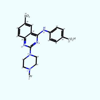 CC(C)N1CCN(c2nc(Nc3ccc(C(=O)O)cc3)c3cc([N+](=O)[O-])ccc3n2)CC1